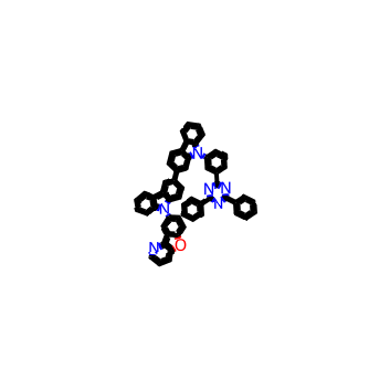 c1ccc(-c2nc(-c3ccccc3)nc(-c3cccc(-n4c5ccccc5c5ccc(-c6ccc7c(c6)c6ccccc6n7-c6ccc7oc8cccnc8c7c6)cc54)c3)n2)cc1